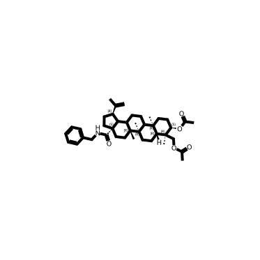 C=C(C)[C@@H]1CC[C@]2(C(=O)NCc3ccccc3)CC[C@]3(C)C(CCC4[C@@]5(C)CC[C@H](OC(C)=O)[C@@](C)(COC(C)=O)[C@@H]5CC[C@]43C)C12